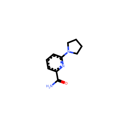 NC(=O)c1cccc(N2CCCC2)n1